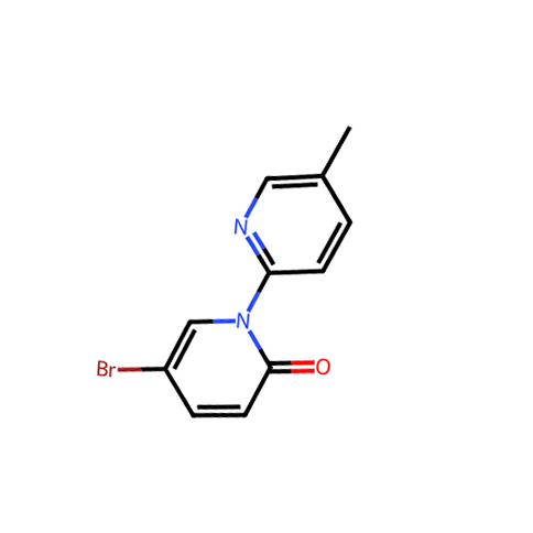 Cc1ccc(-n2cc(Br)ccc2=O)nc1